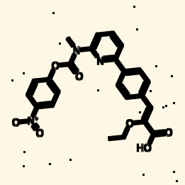 CCOC(=Cc1ccc(-c2cccc(N(C)C(=O)Oc3ccc([N+](=O)[O-])cc3)n2)cc1)C(=O)O